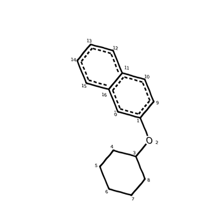 [c]1c(OC2CCCCC2)ccc2ccccc12